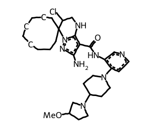 COC1CCN(C2CCN(c3ccncc3NC(=O)c3c(N)nn4c3NCC(Cl)C43CCCCCCCCC3)CC2)C1